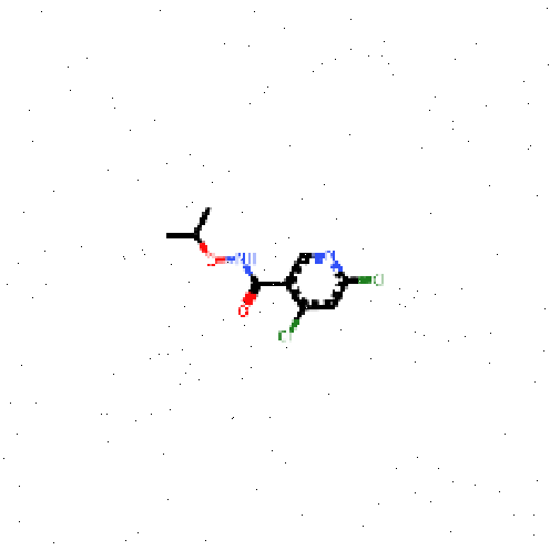 CC(C)ONC(=O)c1cnc(Cl)cc1Cl